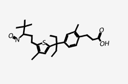 CCC(CC)(c1ccc(CCC(=O)O)c(C)c1)c1cc(C)c(CCC(N=O)C(C)(C)C)s1